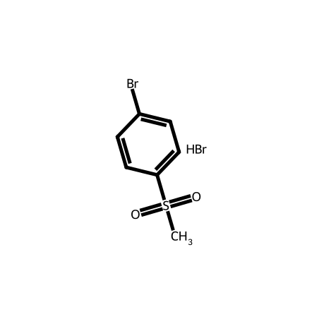 Br.CS(=O)(=O)c1ccc(Br)cc1